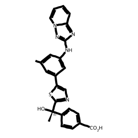 Cc1cc(Nc2nc3ccccn3n2)cc(-c2cnc([C@@](C)(O)c3ccc(C(=O)O)cc3)s2)c1